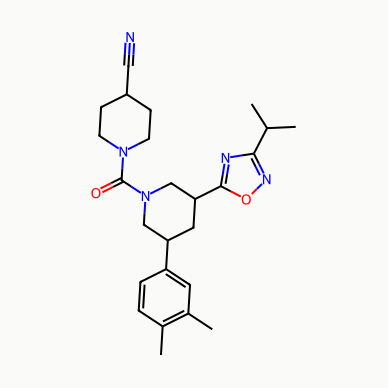 Cc1ccc(C2CC(c3nc(C(C)C)no3)CN(C(=O)N3CCC(C#N)CC3)C2)cc1C